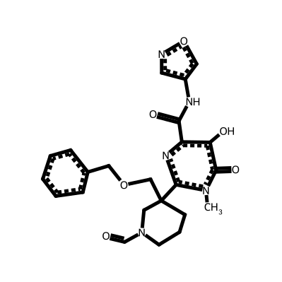 Cn1c(C2(COCc3ccccc3)CCCN(C=O)C2)nc(C(=O)Nc2cnoc2)c(O)c1=O